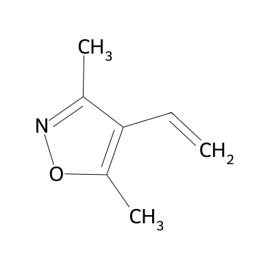 C=Cc1c(C)noc1C